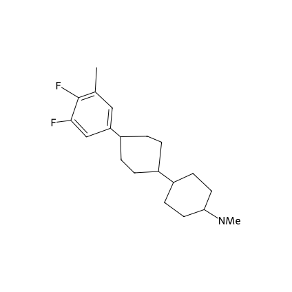 CNC1CCC(C2CCC(c3cc(C)c(F)c(F)c3)CC2)CC1